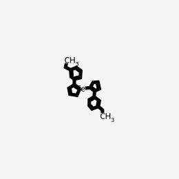 CCc1cccc(C2=[C]([Fe][C]3=C(c4cccc(CC)c4)C=CC3)CC=C2)c1